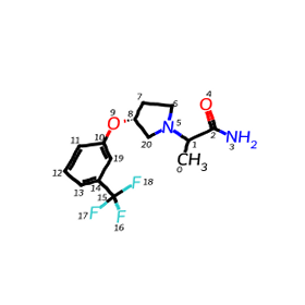 CC(C(N)=O)N1CC[C@@H](Oc2cccc(C(F)(F)F)c2)C1